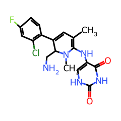 CC1=C(Nc2c[nH]c(=O)[nH]c2=O)N(C)C(CN)C(c2ccc(F)cc2Cl)=C1